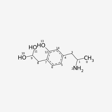 CC(N)Cc1ccc(CC(O)O)c(O)c1